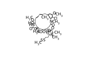 COc1cc2cc(c1Cl)N(C)C(=O)C[C@H](OC(=O)[C@H](C)N(C)C(=O)CCSSC)[C@]1(C)O[C@]1(O)[C@H](C)[C@@H]1C[C@@](O)(NC(=O)O1)[C@H](OC)/C=C/C=C(\C)C2